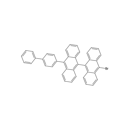 Brc1c2ccccc2c(-c2c3ccccc3c(-c3ccc(-c4ccccc4)cc3)c3ccccc23)c2ccccc12